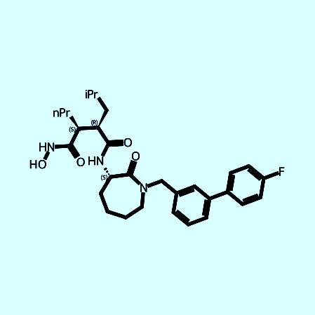 CCC[C@H](C(=O)NO)[C@@H](CC(C)C)C(=O)N[C@H]1CCCCN(Cc2cccc(-c3ccc(F)cc3)c2)C1=O